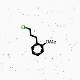 COc1ccccc1CCCCl